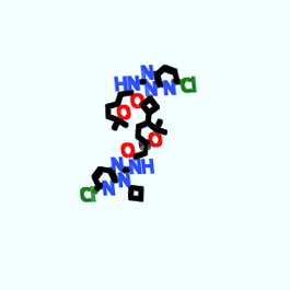 CC1(C)CCC(CC(=O)Nc2nc3ccc(Cl)nc3n2C2CC(C3CC[C@H](CC(=O)Nc4nc5ccc(Cl)nc5n4C4CCC4)OC3(C)C)C2)O1